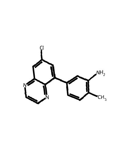 Cc1ccc(-c2cc(Cl)cc3nccnc23)cc1N